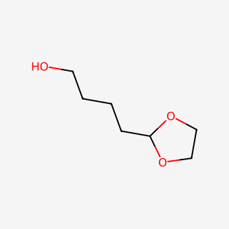 OCCCCC1OCCO1